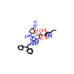 CCc1cc([C@H]2O[C@@H](n3cnc4c(NCC(c5ccccc5)c5ccccc5)nc(N[C@H]5CC[C@H](N)CC5)nc43)[C@H](O)[C@@H]2O)on1